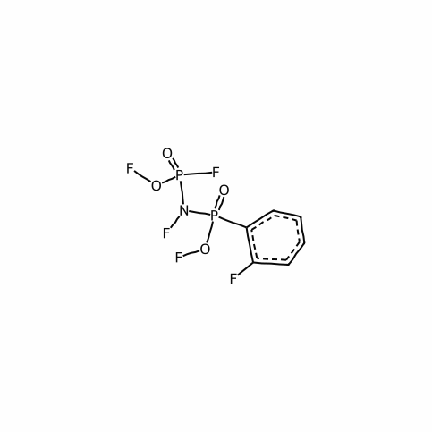 O=P(F)(OF)N(F)P(=O)(OF)c1ccccc1F